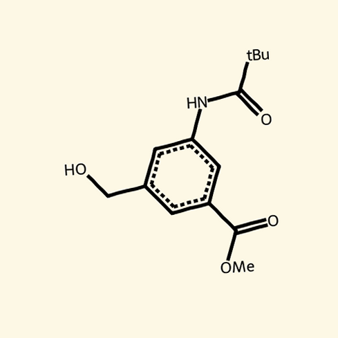 COC(=O)c1cc(CO)cc(NC(=O)C(C)(C)C)c1